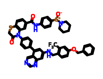 O=C(Nc1ccc([S+]([O-])N2CCCCC2)cc1)c1ccc2c(c1)N(c1ccc(-c3cc(NCc4ccc(OCc5ccccc5)cc4C(F)(F)F)cc4ncncc34)cc1)C(=O)CS2